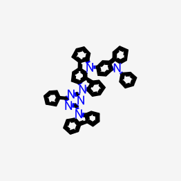 c1ccc(-c2nc(-n3c4ccccc4c4ccccc43)nc(-n3c4ccccc4c4c3ccc3c5ccccc5n(-c5ccc6c(c5)c5ccccc5n6-c5ccccc5)c34)n2)cc1